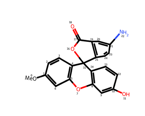 COc1ccc2c(c1)Oc1cc(O)ccc1C21OC(=O)c2cc(N)ccc21